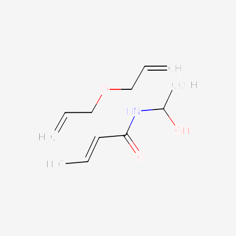 C=CCOCC=C.CC=CC(=O)NC(O)C(=O)O